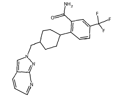 NC(=O)c1cc(C(F)(F)F)ccc1C1CCC(Cn2cc3cccnc3n2)CC1